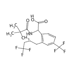 CC(C)(C)C(=O)NC(C(=O)O)c1ccc(C(F)(F)F)cc1CCCC(F)(F)F